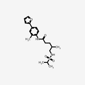 Cc1cc(-c2ccco2)ccc1NC(=O)CCC(C)CNS(=O)(=O)C(C)C